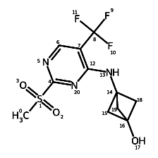 CS(=O)(=O)c1ncc(C(F)(F)F)c(NC23CC(O)(C2)C3)n1